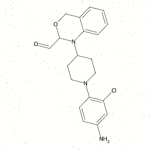 Nc1ccc(N2CCC(N3c4ccccc4COC3C=O)CC2)c(Cl)c1